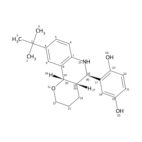 CC(C)(C)c1ccc2c(c1)[C@H]1OCCC[C@H]1[C@H](c1cc(O)ccc1O)N2